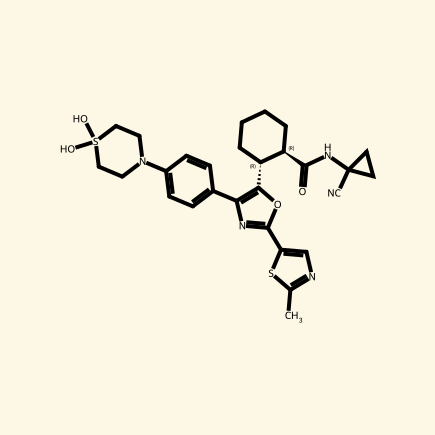 Cc1ncc(-c2nc(-c3ccc(N4CCS(O)(O)CC4)cc3)c([C@@H]3CCCC[C@H]3C(=O)NC3(C#N)CC3)o2)s1